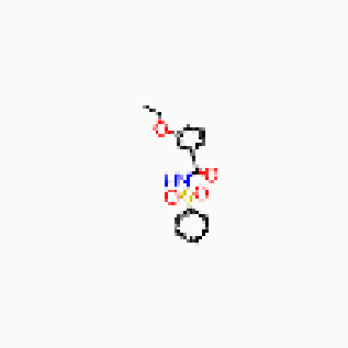 CCOc1cccc(C(=O)NS(=O)(=O)c2ccccc2)c1